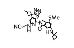 CSc1cc(CNC2(C)CCC2)cc2c1CN(c1cc(C3(c4nncn4C)CC(C)C3)cc(NCCC#N)n1)C2=O